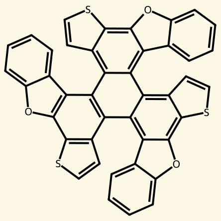 c1ccc2c(c1)oc1c3sccc3c3c(c21)c1c2ccsc2c2oc4ccccc4c2c1c1c2ccsc2c2oc4ccccc4c2c31